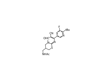 CC(=O)NCC1CS/C(=N/C(=C(/C#N)C=O)c2cnc(C(C)(C)C)c(F)c2)N(C)C1